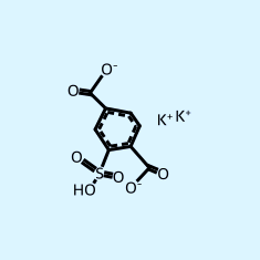 O=C([O-])c1ccc(C(=O)[O-])c(S(=O)(=O)O)c1.[K+].[K+]